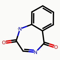 O=C1C=NC(=O)c2ccccc2[N]1